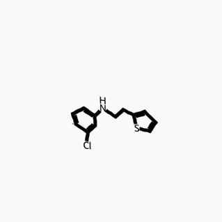 Clc1[c]ccc(NCCc2cccs2)c1